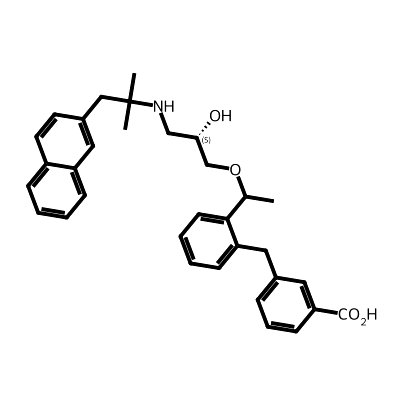 CC(OC[C@@H](O)CNC(C)(C)Cc1ccc2ccccc2c1)c1ccccc1Cc1cccc(C(=O)O)c1